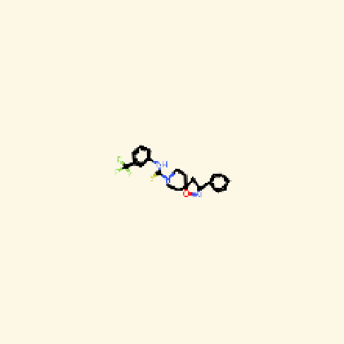 FC(F)(F)c1cccc(NC(=S)N2CCC3(CC2)CC(c2ccccc2)=NO3)c1